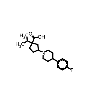 CC(C)C1(C(=O)O)CCC(N2CCC(c3ccc(F)cc3)CC2)C1